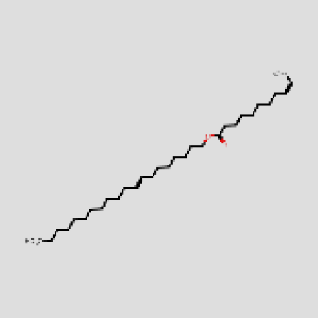 CCCCCCCC/C=C\CCCCCCCC(=O)OCCCCCCCC=CCCCCCCCCCCC(=O)O